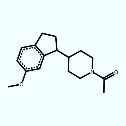 COc1ccc2c(c1)C(C1CCN(C(C)=O)CC1)CC2